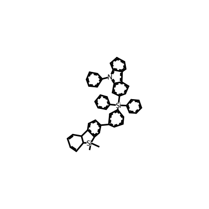 C[Si]1(C)c2cc(-c3cccc([Si](c4ccccc4)(c4ccccc4)c4ccc5c6ccccc6n(-c6ccccc6)c5c4)c3)ccc2C2C=CC=CC21